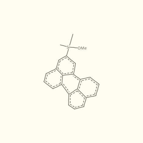 CO[Si](C)(C)c1cc2cccc3c4cccc5cccc(c(c1)c23)c54